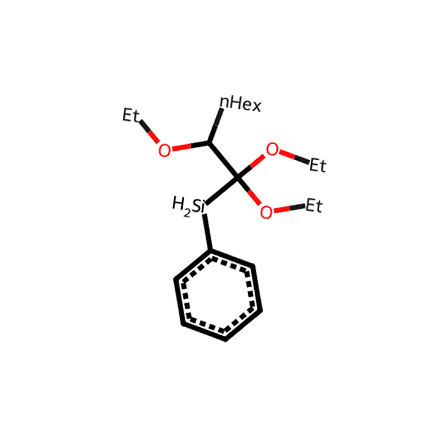 CCCCCCC(OCC)C(OCC)(OCC)[SiH2]c1ccccc1